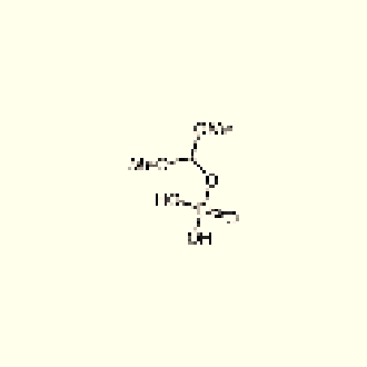 COC(OC)OP(=O)(O)O